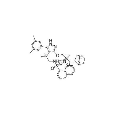 Cc1cc(C)cc(-c2[nH]nc(OCC(C)(C)C(=O)N3CC4CCC3CC4)c2[C@H](C)CNS(=O)(=O)c2cccc3cccc(N(C)C)c23)c1